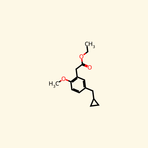 CCOC(=O)Cc1cc(CC2CC2)ccc1OC